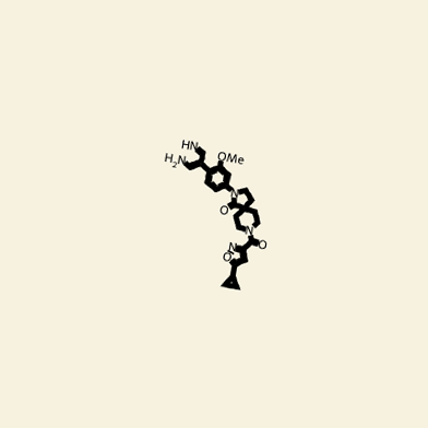 COc1cc(N2CCC3(CCN(C(=O)c4cc(C5CC5)on4)CC3)C2=O)ccc1/C(C=N)=C/N